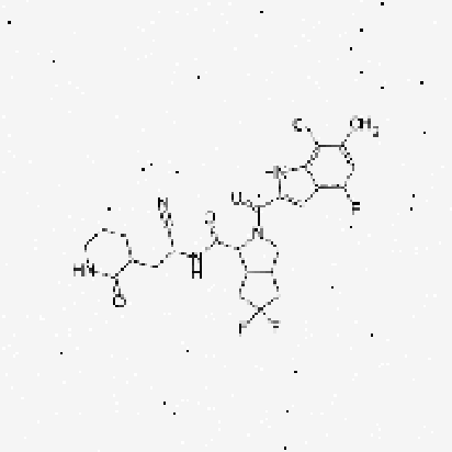 Cc1cc(F)c2cc(C(=O)N3CC4CC(F)(F)CC4C3C(=O)NC(C#N)CC3CCCNC3=O)[nH]c2c1Cl